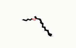 [CH]=CCCCCCCCC(C)OCCCCC